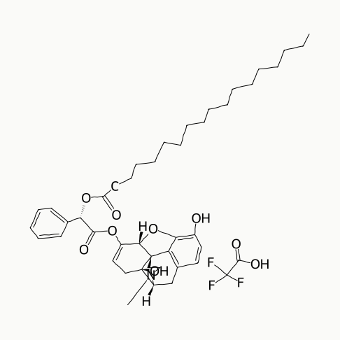 CCCCCCCCCCCCCCCCCC(=O)O[C@H](C(=O)OC1=CC[C@@]2(O)[C@H]3Cc4ccc(O)c5c4[C@@]2(CCN3C)[C@H]1O5)c1ccccc1.O=C(O)C(F)(F)F